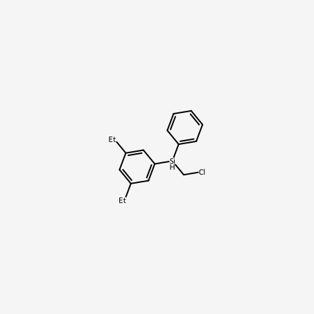 CCc1cc(CC)cc([SiH](CCl)c2ccccc2)c1